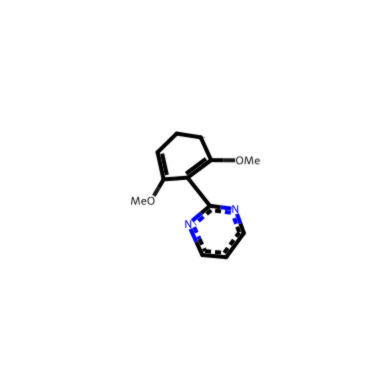 COC1=CC[CH]C(OC)=C1c1ncccn1